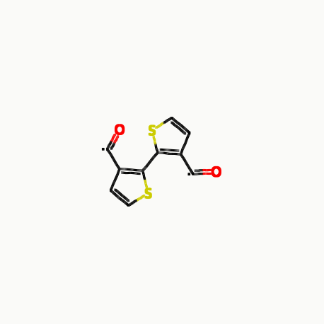 O=[C]c1ccsc1-c1sccc1[C]=O